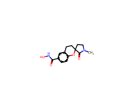 CN1CCC2(CCc3cc(C(=O)NO)ccc3O2)C1=O